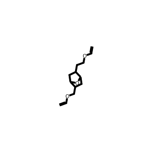 C=COCCC1CC2OC1CC2COC=C